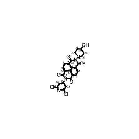 O=C1c2ccc3c4c(ccc(c24)C(=O)N1c1cc(Cl)nc(Cl)c1)C(=O)N(N1CCC(O)CC1)C3=O